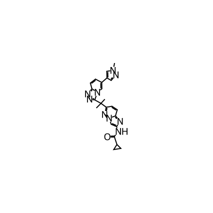 Cn1cc(-c2ccc3nnc(C(C)(C)c4ccc5nc(NC(=O)C6CC6)cn5n4)n3c2)cn1